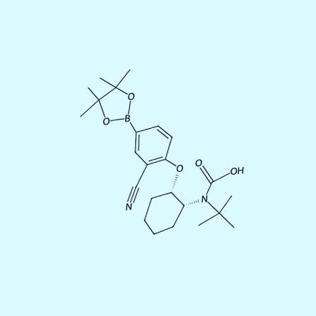 CC(C)(C)N(C(=O)O)[C@@H]1CCCC[C@@H]1Oc1ccc(B2OC(C)(C)C(C)(C)O2)cc1C#N